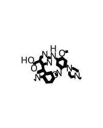 COc1cc(N2CCN(C)CC2)c(N=O)cc1Nc1ncc(C(=O)O)c(-c2cn(C)c3ccccc23)n1